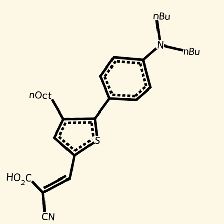 CCCCCCCCc1cc(C=C(C#N)C(=O)O)sc1-c1ccc(N(CCCC)CCCC)cc1